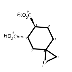 CCOC(=O)[C@H]1CCC2(CO2)C[C@@H]1C(=O)O